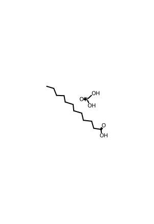 CCCCCCCCCCCC(=O)O.[O]=[Ti]([OH])[OH]